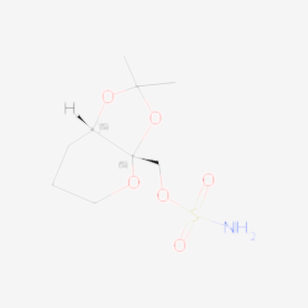 CC1(C)O[C@H]2CCCO[C@@]2(COS(N)(=O)=O)O1